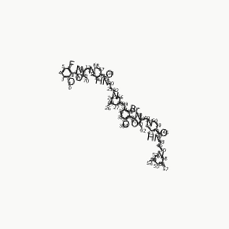 COc1cccc(F)c1-c1nc(CN2CCC(C(=O)NCCCN3C[C@H](C)C[C@H](Cc4ccc(OC)c(-c5nc(CN6CCC(C(=O)NCCCN7C[C@H](C)C[C@H](C)C7)CC6)c(C)o5)c4Br)C3)CC2)c(C)o1